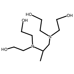 CC(CN(CCO)CCO)N(CCO)CCO